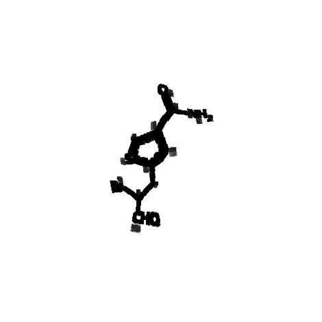 NC(=O)c1csc(CC(Br)C=O)c1